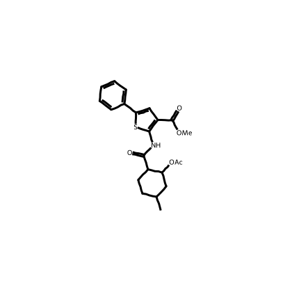 COC(=O)c1cc(-c2ccccc2)sc1NC(=O)C1CCC(C)CC1OC(C)=O